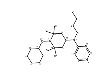 CCCCN(c1ncncn1)C1CC(C)(C)N(OC2CCCCC2)C(C)(C)C1